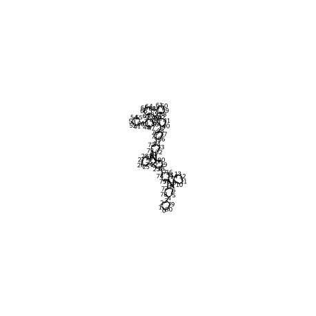 c1ccc(-c2ccc(-n3c4ccccc4c4cc(-c5ccc6c(c5)c5ccccc5n6-c5ccc(-c6ccc(-c7cccc(C8(c9cccc(-c%10ccccc%10)c9)c9ccccc9-c9ccccc98)c7)cc6)cc5)ccc43)cc2)cc1